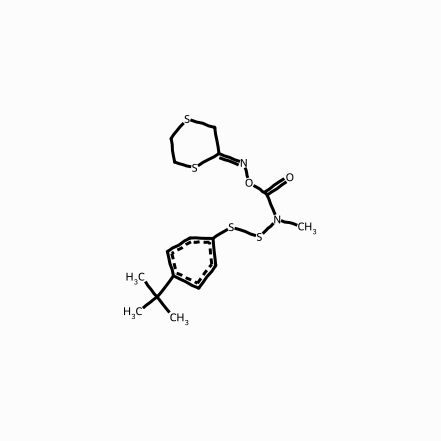 CN(SSc1ccc(C(C)(C)C)cc1)C(=O)ON=C1CSCCS1